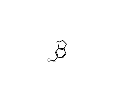 O=[C]c1ccc2c(c1)OCC2